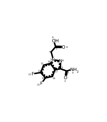 NC(=O)c1nn(CC(=O)O)c2cc(F)c(F)cc12